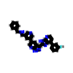 Fc1cccc(-c2ccnc3[nH]c(-c4n[nH]c5ncc(-c6cncc(CNCc7ccccc7)c6)cc45)nc23)c1